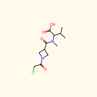 CC(C)C(C(=O)O)N(C)C(=O)C1CN(C(=O)CCl)C1